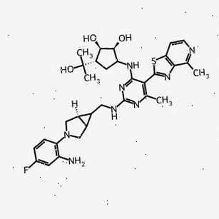 Cc1nc(NCC2C3CN(c4ccc(F)cc4N)C[C@@H]23)nc(NC2C[C@H](C(C)(C)O)[C@@H](O)[C@H]2O)c1-c1nc2c(C)nccc2s1